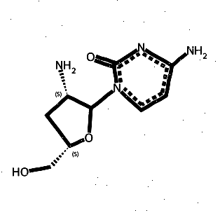 Nc1ccn(C2O[C@H](CO)C[C@@H]2N)c(=O)n1